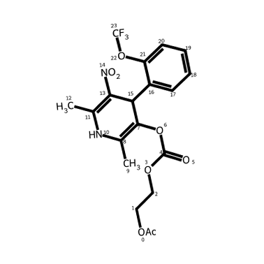 CC(=O)OCCOC(=O)OC1=C(C)NC(C)=C([N+](=O)[O-])C1c1ccccc1OC(F)(F)F